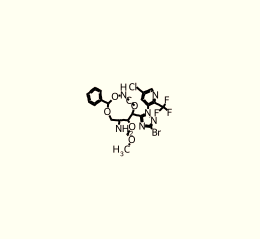 COCOC1C(N)COC(c2ccccc2)ONCOC1c1nc(Br)nn1-c1cc(Cl)cnc1C(F)(F)F